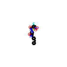 Cc1c(F)cc2c(=O)nc(N3CCC4(CC3)CC(C3CCC(CC5CCCCC5)CC3)=NC4=O)sc2c1[N+](=O)[O-]